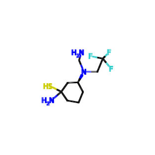 NCN(CC(F)(F)F)[C@H]1CCCC(N)(S)C1